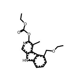 CCOCc1cccc2[nH]c3cnc(OC(=O)OCC)c(C)c3c12